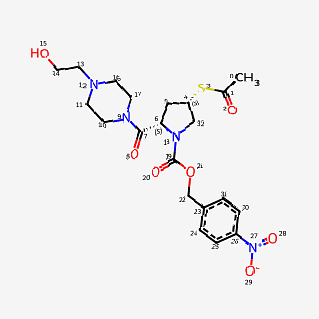 CC(=O)S[C@H]1C[C@@H](C(=O)N2CCN(CCO)CC2)N(C(=O)OCc2ccc([N+](=O)[O-])cc2)C1